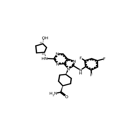 NC(=O)[C@H]1CC[C@@H](n2c(Nc3c(F)cc(F)cc3F)nc3cnc(N[C@@H]4CC[C@H](O)C4)nc32)CC1